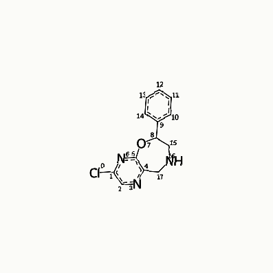 Clc1cnc2c(n1)OC(c1ccccc1)CNC2